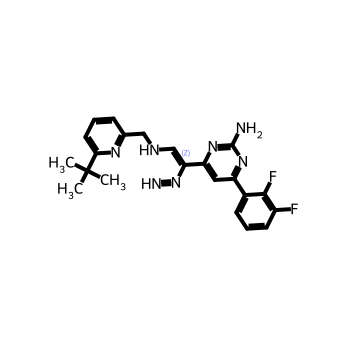 CC(C)(C)c1cccc(CN/C=C(\N=N)c2cc(-c3cccc(F)c3F)nc(N)n2)n1